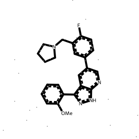 COc1ccccc1-c1n[nH]c2ncc(-c3ccc(F)c(CN4CCCC4)c3)cc12